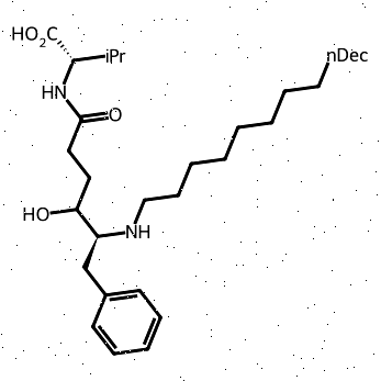 CCCCCCCCCCCCCCCCCCN[C@@H](Cc1ccccc1)C(O)CCC(=O)N[C@H](C(=O)O)C(C)C